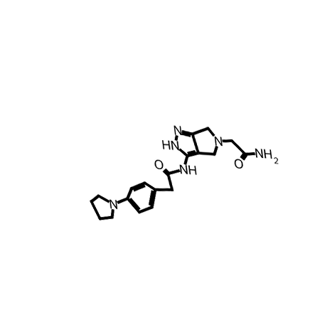 NC(=O)CN1Cc2n[nH]c(NC(=O)Cc3ccc(N4CCCC4)cc3)c2C1